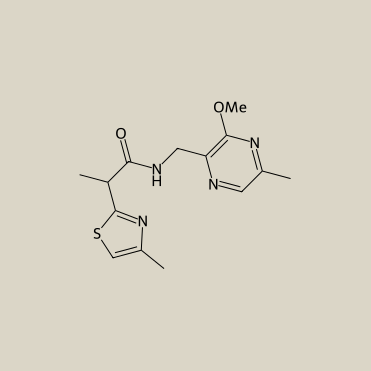 COc1nc(C)cnc1CNC(=O)C(C)c1nc(C)cs1